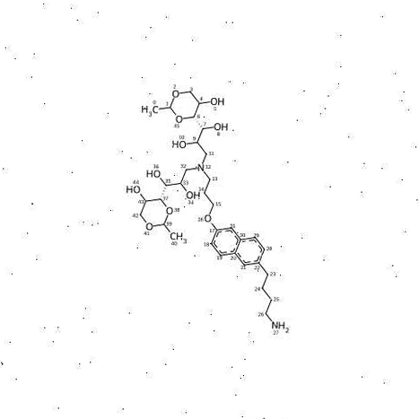 CC1OCC(O)[C@H](C(O)C(O)CN(CCCOc2ccc3cc(CCCCN)ccc3c2)CC(O)C(O)[C@@H]2OC(C)OCC2O)O1